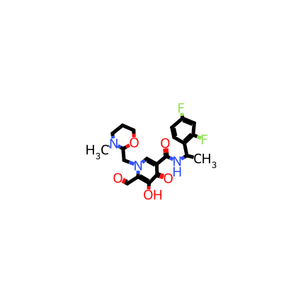 CC(NC(=O)c1cn(CC2OCCCN2C)c(C=O)c(O)c1=O)c1ccc(F)cc1F